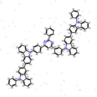 c1ccc(-c2nc(-c3ccc(-n4c5ccccc5c5cc(-c6ccc7c(c6)c6ccccc6n7-c6ccccc6)ccc54)cc3)cc(-c3cccc(-n4c5ccccc5c5cc(-c6ccc7c(c6)c6ccccc6n7-c6ccccc6)ccc54)c3)n2)cc1